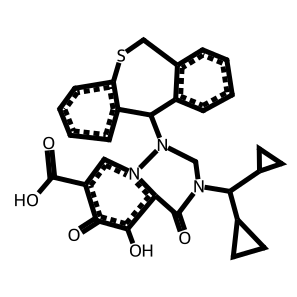 O=C(O)c1cn2c(c(O)c1=O)C(=O)N(C(C1CC1)C1CC1)CN2C1c2ccccc2CSc2ccccc21